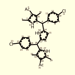 CC(=O)c1c(C)[nH]c(C(c2ccc(Cl)cc2)c2ccc(C(c3ccc(Cl)cc3)c3[nH]c(C)c(C(C)=O)c3C)[nH]2)c1C